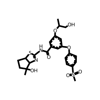 CC(CO)Oc1cc(Oc2ccc(S(C)(=O)=O)cc2)cc(C(=O)NC2=NC3C(CCC3(C)O)S2)c1